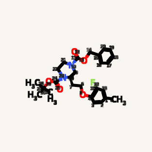 Cc1ccc(OCC[C@@H]2CN(C(=O)OCc3ccccc3)CCN2C(=O)OC(C)(C)C)c(F)c1